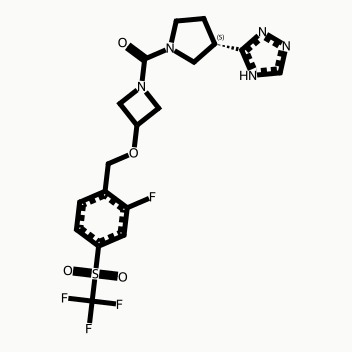 O=C(N1CC(OCc2ccc(S(=O)(=O)C(F)(F)F)cc2F)C1)N1CC[C@H](c2nnc[nH]2)C1